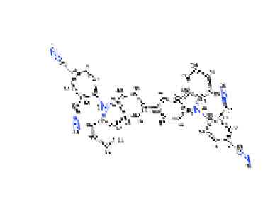 N#Cc1ccc(-n2c3ccccc3c3cc(-c4ccc5c(c4)c4ccccc4n5-c4ccc(C#N)cc4C#N)ccc32)c(C#N)c1